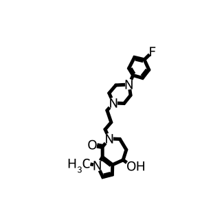 Cn1ccc2c1C(=O)N(CCCN1CCN(c3ccc(F)cc3)CC1)CCC2O